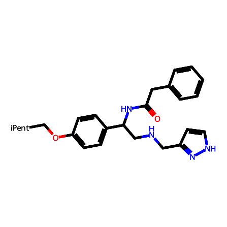 CCCC(C)COc1ccc(C(CNCc2cc[nH]n2)NC(=O)Cc2ccccc2)cc1